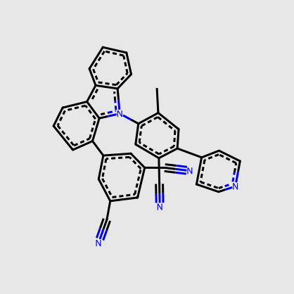 Cc1cc(-c2ccncc2)c(C#N)cc1-n1c2ccccc2c2cccc(-c3cc(C#N)cc(C#N)c3)c21